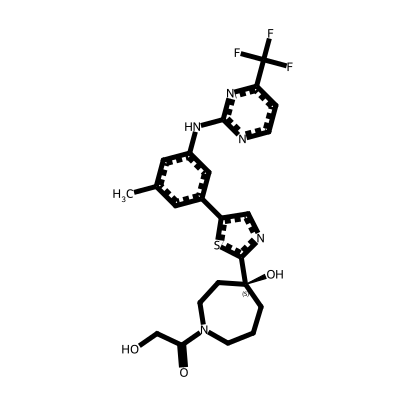 Cc1cc(Nc2nccc(C(F)(F)F)n2)cc(-c2cnc([C@]3(O)CCCN(C(=O)CO)CC3)s2)c1